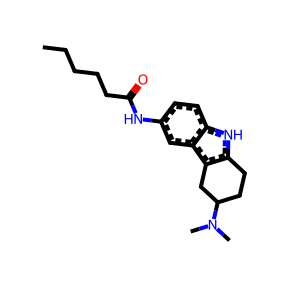 CCCCCC(=O)Nc1ccc2[nH]c3c(c2c1)CC(N(C)C)CC3